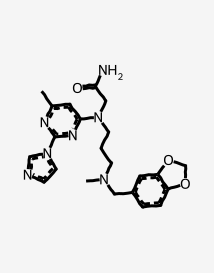 Cc1cc(N(CCCN(C)Cc2ccc3c(c2)OCO3)CC(N)=O)nc(-n2ccnc2)n1